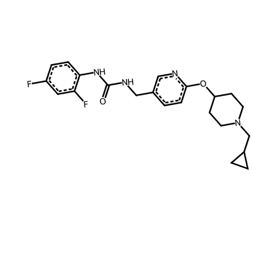 O=C(NCc1ccc(OC2CCN(CC3CC3)CC2)nc1)Nc1ccc(F)cc1F